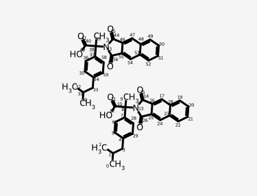 CC(C)Cc1ccc(C(C)(C(=O)O)N2C(=O)c3cc4ccccc4cc3C2=O)cc1.CC(C)Cc1ccc(C(C)(C(=O)O)N2C(=O)c3cc4ccccc4cc3C2=O)cc1